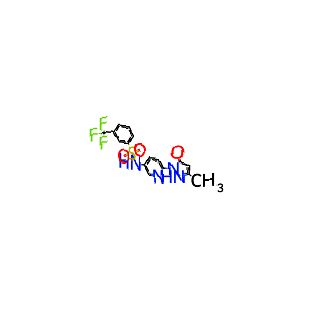 Cc1cc(=O)n(-c2ccc(NS(=O)(=O)c3cccc(C(F)(F)F)c3)cn2)[nH]1